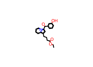 CCOC(=O)CCCc1cc(C(=O)c2cccc(O)c2)n2ccccc12